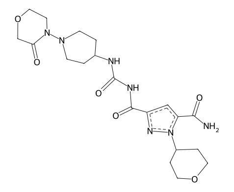 NC(=O)c1cc(C(=O)NC(=O)NC2CCN(N3CCOCC3=O)CC2)nn1C1CCOCC1